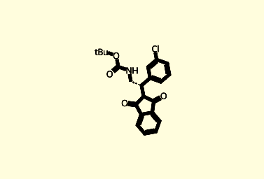 CC(C)(C)OC(=O)NC[C@H](c1cccc(Cl)c1)C1C(=O)c2ccccc2C1=O